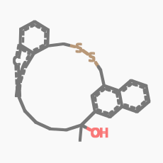 CC1(O)CCCCc2ccc3c(cccc3c2)CSSCc2cc1cc1ccccc21